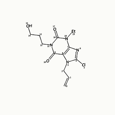 C=CCn1c(Cl)nc2c1c(=O)n(CCCO)c(=O)n2CC